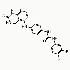 O=C(Nc1ccc(Nc2ccnc3c2CNC(=O)N3)cc1)Nc1ccc(F)c(F)c1